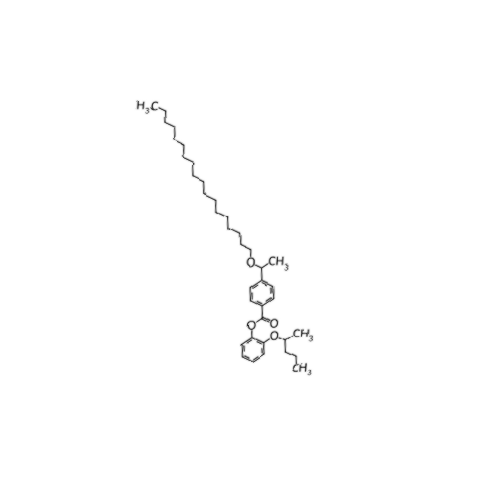 CCCCCCCCCCCCCCCCCCOC(C)c1ccc(C(=O)Oc2ccccc2OC(C)CCC)cc1